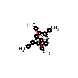 Cc1ccc(-c2ccc3c(c2)c2cc(-c4ccc(C)cc4)ccc2n3-c2ccc(C#N)cc2-c2ccc(-c3c(C(F)(F)F)cccc3C(F)(F)F)cc2-n2c3ccc(-c4ccc(C)cc4)cc3c3cc(-c4ccc(C)cc4)ccc32)cc1